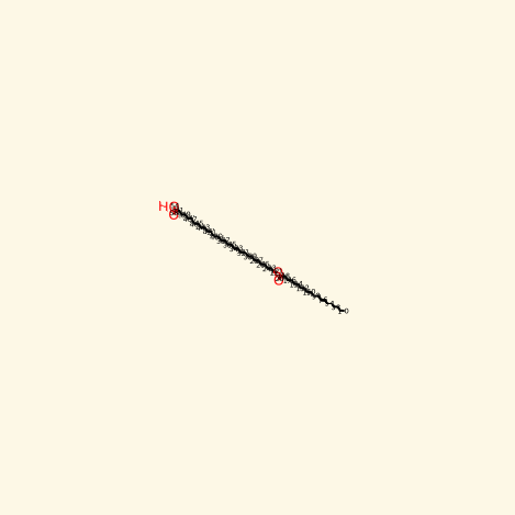 CCCCCCC=CCCCCCCCCCCCC(=O)OCCCCCCCCCCCCCCCCCCCCCCCCCCCCCCC(=O)O